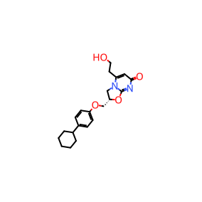 O=c1cc(CCO)n2c(n1)O[C@H](COc1ccc(C3CCCCC3)cc1)C2